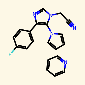 N#CCn1cnc(-c2ccc(F)cc2)c1-n1cccc1.c1ccncc1